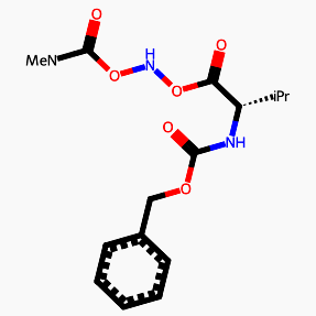 CNC(=O)ONOC(=O)[C@@H](NC(=O)OCc1ccccc1)C(C)C